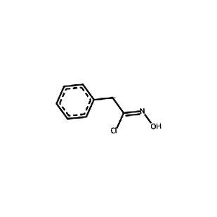 ON=C(Cl)[CH]c1ccccc1